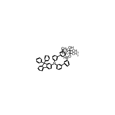 Cc1cccc(-c2cccc(N(c3cccc(-c4cccc(BOC(C)(C)C(C)(C)O)c4)c3)c3ccc4c(c3)C(c3ccccc3)(c3ccccc3)c3ccccc3-4)c2)c1